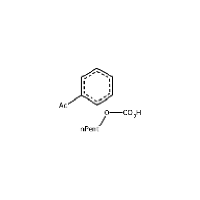 CC(=O)c1ccccc1.CCCCCOC(=O)O